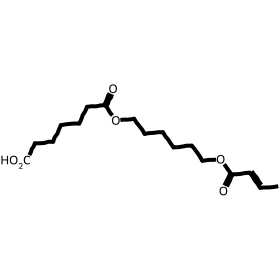 CC=CC(=O)OCCCCCCOC(=O)CCCCCC(=O)O